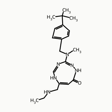 CCNCc1cc(=O)[nH]nc(N(C)Cc2ccc(C(C)(C)C)cc2)nc[nH]1